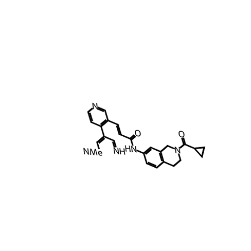 CN/C=C(\C=N)c1ccncc1/C=C/C(=O)Nc1ccc2c(c1)CN(C(=O)C1CC1)CC2